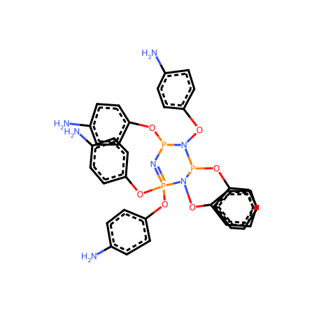 Nc1ccc(ON2P(Oc3ccc(N)cc3)N=P(Oc3ccc(N)cc3)(Oc3ccc(N)cc3)N(Oc3ccccc3)P2Oc2ccccc2)cc1